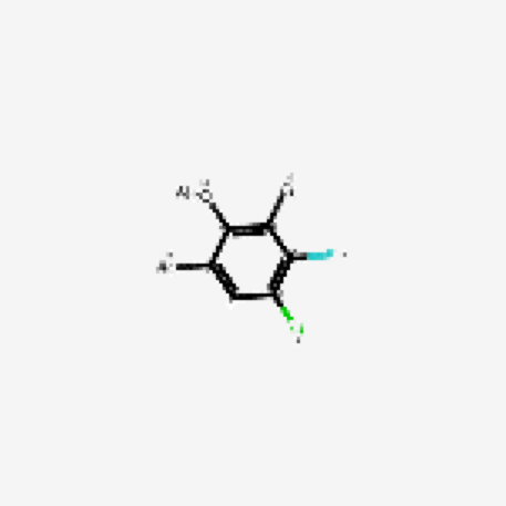 CCc1c(F)c(Cl)cc(C(C)=O)c1OC